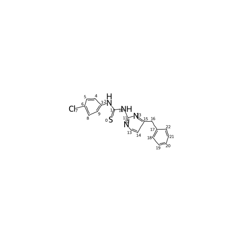 S=C(Nc1ccc(Cl)cc1)Nc1nccc(Cc2ccccc2)n1